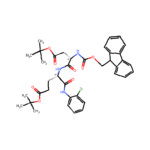 CC(C)(C)OC(=O)CC[C@H](NC(=O)[C@H](CC(=O)OC(C)(C)C)NC(=O)OCC1c2ccccc2-c2ccccc21)C(=O)Nc1ccccc1Cl